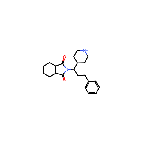 O=C1C2CCCCC2C(=O)N1C(CCc1ccccc1)C1CCNCC1